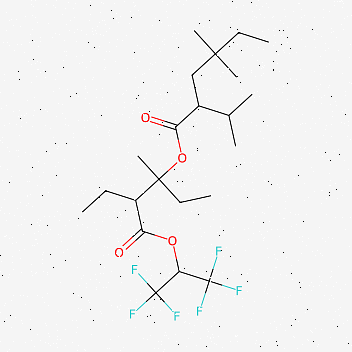 CCC(C(=O)OC(C(F)(F)F)C(F)(F)F)C(C)(CC)OC(=O)C(CC(C)(C)CC)C(C)C